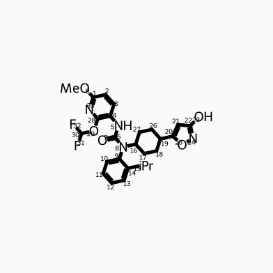 COc1ccc(NC(=O)N(c2ccccc2C(C)C)C2CCC(c3cc(O)no3)CC2)c(OC(F)F)n1